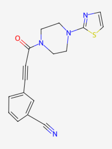 N#Cc1cccc(C#CC(=O)N2CCN(c3nccs3)CC2)c1